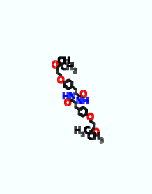 CC1(C)OC1CCOc1ccc(CC2NC(=O)C(Cc3ccc(OCCC4OC4(C)C)cc3)NC2=O)cc1